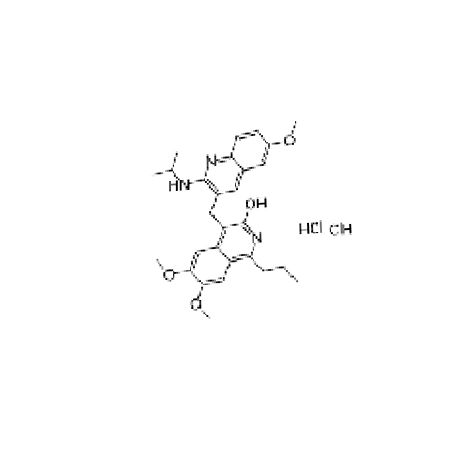 CCCc1nc(O)c(Cc2cc3cc(OC)ccc3nc2NC(C)C)c2cc(OC)c(OC)cc12.Cl.Cl